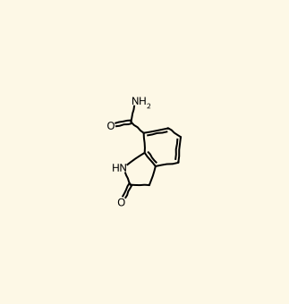 NC(=O)c1cccc2c1NC(=O)C2